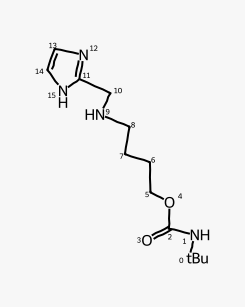 CC(C)(C)NC(=O)OCCCCNCc1ncc[nH]1